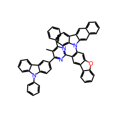 Cc1c(-c2ccccc2)nc(-c2cc3c(cc2-n2c4ccccc4c4cc5ccccc5cc42)oc2ccccc23)nc1-c1ccc2c(c1)c1ccccc1n2-c1ccccc1